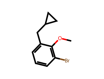 COc1c(Br)cccc1CC1CC1